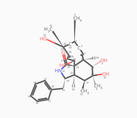 C[C@H]1C/C=C/[C@H]2[C@H](O)[C@@](C)(O)[C@@H](C)[C@H]3[C@H](Cc4ccccc4)NC(=O)[C@]32[C@H](O)/C=C/[C@](C)(O)C1